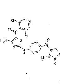 Nc1nc(Nc2ccc(C(=O)[C@H]3COC(=O)[C@@H]3N)cc2)sc1C(=O)c1c(Cl)cncc1Cl